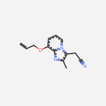 C=CCOc1cccn2c(CC#N)c(C)nc12